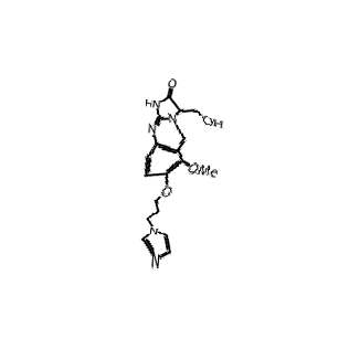 COc1c(OCCCn2ccnc2)ccc2c1CN1C(=N2)NC(=O)C1CO